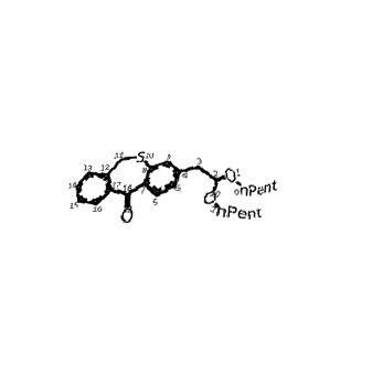 CCCCCOC(Cc1ccc2c(c1)SCc1ccccc1C2=O)OCCCCC